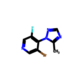 Cc1ncnn1-c1c(F)cncc1Br